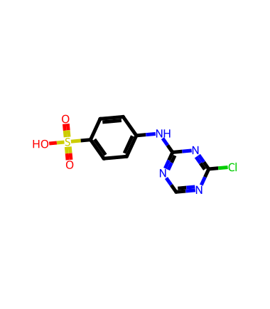 O=S(=O)(O)c1ccc(Nc2ncnc(Cl)n2)cc1